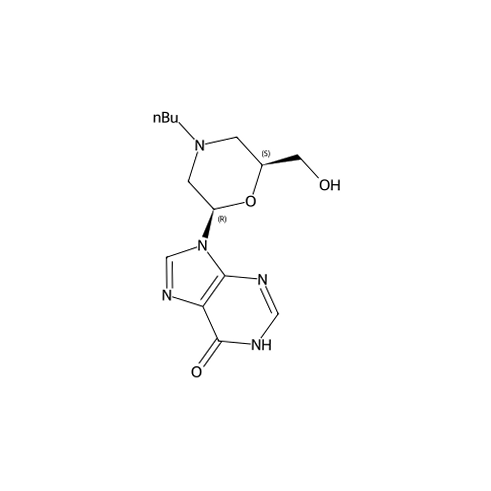 CCCCN1C[C@@H](CO)O[C@@H](n2cnc3c(=O)[nH]cnc32)C1